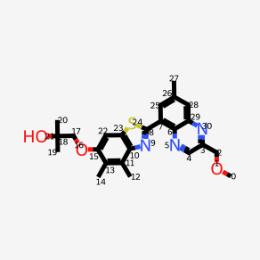 COCc1cnc2c(-c3nc4c(C)c(C)c(OCC(C)(C)O)cc4s3)cc(C)cc2n1